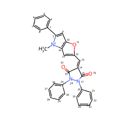 Cn1c(-c2ccccc2)cc2oc(C=C3C(=O)N(c4ccccc4)N(c4ccccc4)C3=O)cc21